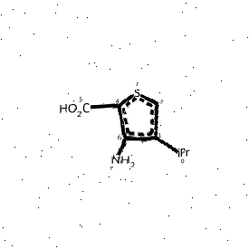 CC(C)c1csc(C(=O)O)c1N